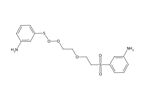 Nc1cccc(SOOCCOCCS(=O)(=O)c2cccc(N)c2)c1